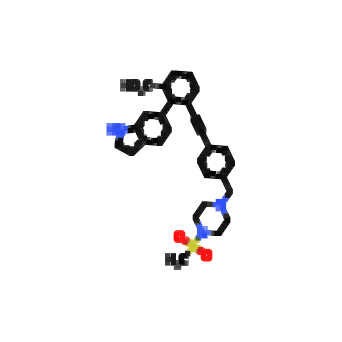 CS(=O)(=O)N1CCN(Cc2ccc(C#Cc3cccc(C(=O)O)c3-c3ccc4cc[nH]c4c3)cc2)CC1